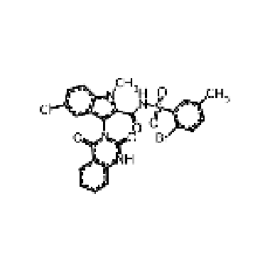 Cc1ccc(Br)c(S(=O)(=O)NC(=O)c2c(-n3c(=O)[nH]c4ccccc4c3=O)c3cc(Cl)ccc3n2C)c1